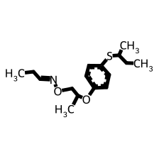 CCC=NOCC(C)Oc1ccc(SC(C)CC)cc1